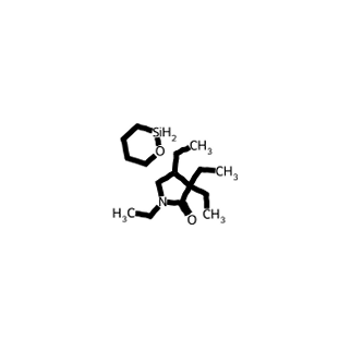 C1CC[SiH2]OC1.CCC1CN(CC)C(=O)C1(CC)CC